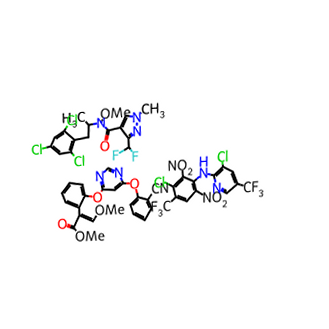 CO/C=C(/C(=O)OC)c1ccccc1Oc1cc(Oc2ccccc2C#N)ncn1.CON(C(=O)c1cn(C)nc1C(F)F)C(C)Cc1c(Cl)cc(Cl)cc1Cl.O=[N+]([O-])c1cc(C(F)(F)F)c(Cl)c([N+](=O)[O-])c1Nc1ncc(C(F)(F)F)cc1Cl